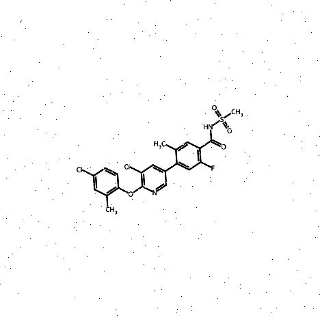 Cc1cc(Cl)ccc1Oc1ncc(-c2cc(F)c(C(=O)NS(C)(=O)=O)cc2C)cc1Cl